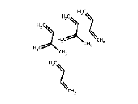 C=CC(=C)C.C=CC(=C)C.C=CC=C.C=CC=C